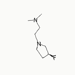 CN(C)CCN1CC[C@H](F)C1